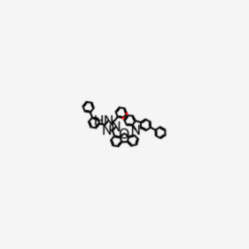 c1ccc(C2=NC(c3cccc4c3oc3c(-n5c6ccccc6c6ccc(-c7ccccc7)cc65)cccc34)=NC(c3cccc(-c4ccccc4)c3)N2)cc1